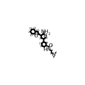 CN(C)CCNC(=O)c1cccc(-c2cnc(N)c(-c3cc4ccccc4o3)c2)c1